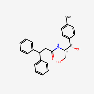 CSc1ccc([C@H](O)[C@H](CO)NC(=O)CC(c2ccccc2)c2ccccc2)cc1